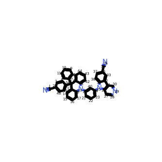 N#Cc1ccc(C2(c3ccccc3)c3ccccc3N(c3cccc(-n4c5ccncc5c5cc(C#N)ccc54)c3)c3ccccc32)cc1